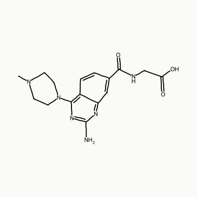 CN1CCN(c2nc(N)nc3cc(C(=O)NCC(=O)O)ccc23)CC1